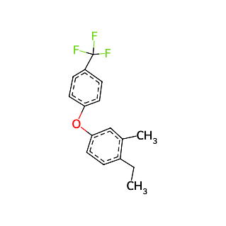 CCc1ccc(Oc2ccc(C(F)(F)F)cc2)cc1C